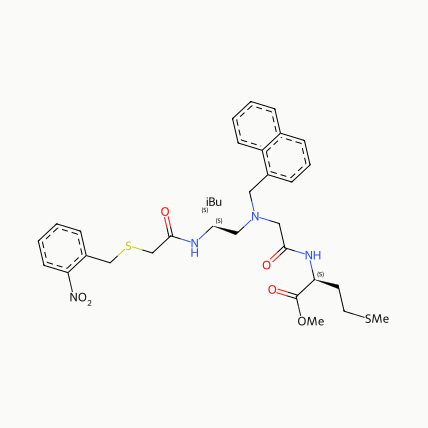 CC[C@H](C)[C@@H](CN(CC(=O)N[C@@H](CCSC)C(=O)OC)Cc1cccc2ccccc12)NC(=O)CSCc1ccccc1[N+](=O)[O-]